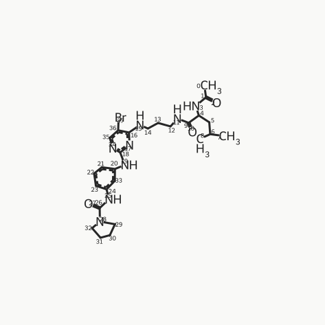 CC(=O)NC(CC(C)C)C(=O)NCCCNc1nc(Nc2cccc(NC(=O)N3CCCC3)c2)ncc1Br